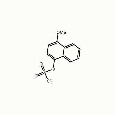 COc1ccc(OS(=O)(=O)C(F)(F)F)c2ccccc12